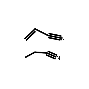 C=CC#N.CCC#N